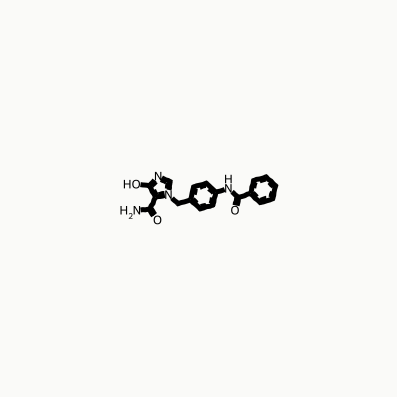 NC(=O)c1c(O)ncn1Cc1ccc(NC(=O)c2ccccc2)cc1